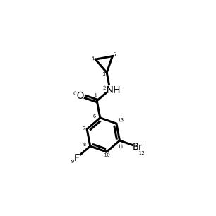 O=C(NC1CC1)c1cc(F)cc(Br)c1